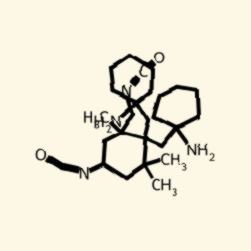 CC1(C)CC(N=C=O)CC(C)(CN=C=O)C1(CC1(N)CCCCC1)CC1(N)CCCCC1